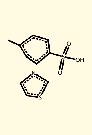 Cc1ccc(S(=O)(=O)O)cc1.c1cscn1